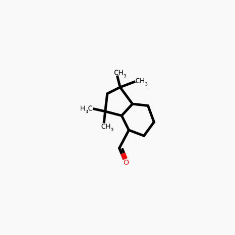 CC1(C)CC(C)(C)C2C(C=O)CCCC21